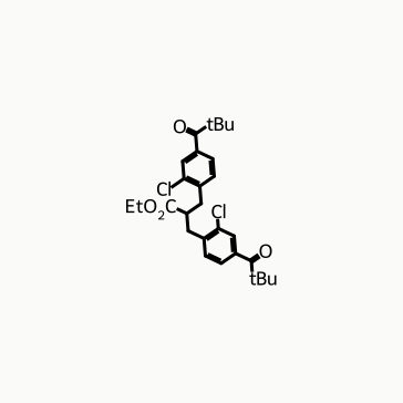 CCOC(=O)C(Cc1ccc(C(=O)C(C)(C)C)cc1Cl)Cc1ccc(C(=O)C(C)(C)C)cc1Cl